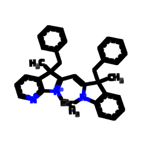 CC[N+]1=C(C=C2N(C)c3ccccc3C2(C)Cc2ccccc2)C(C)(Cc2ccccc2)c2cccnc21